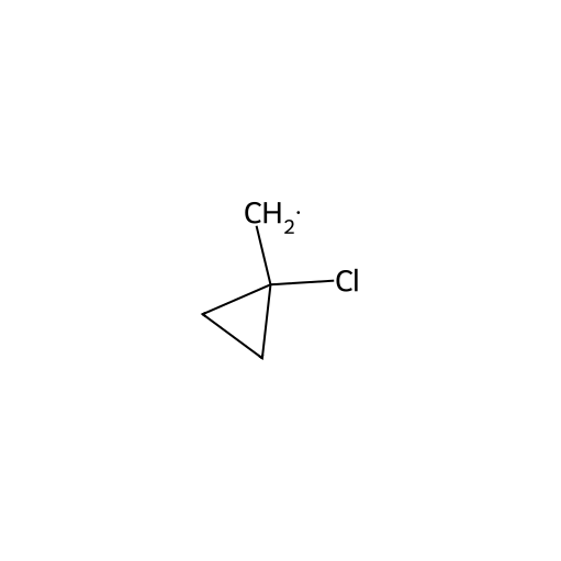 [CH2]C1(Cl)CC1